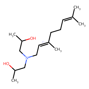 CC(C)=CCC/C(C)=C/CN(CC(C)O)CC(C)O